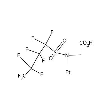 CCN(CC(=O)O)S(=O)(=O)C(F)(F)C(F)(F)C(F)(F)C(F)(F)F